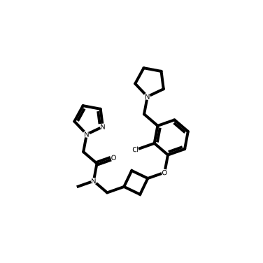 CN(CC1CC(Oc2cccc(CN3CCCC3)c2Cl)C1)C(=O)Cn1cccn1